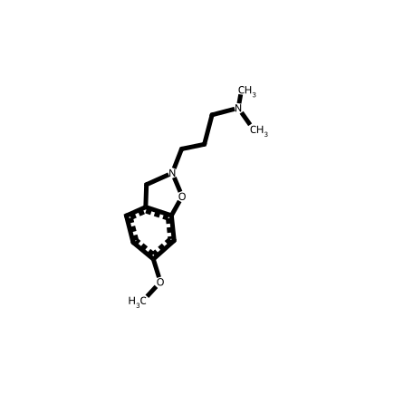 COc1ccc2c(c1)ON(CCCN(C)C)C2